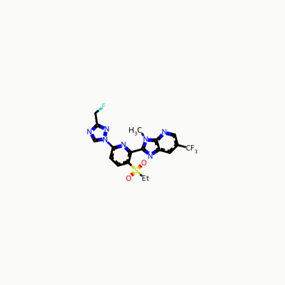 CCS(=O)(=O)c1ccc(-n2cnc(CF)n2)nc1-c1nc2cc(C(F)(F)F)cnc2n1C